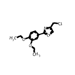 CCOc1ccc(-c2nc(CCl)co2)cc1OCC